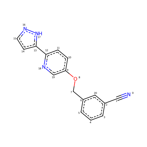 N#Cc1cccc(COc2ccc(-c3ccn[nH]3)nc2)c1